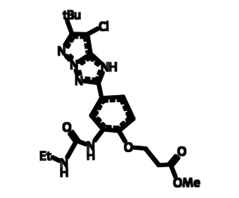 CCNC(=O)Nc1cc(-c2nn3nc(C(C)(C)C)c(Cl)c3[nH]2)ccc1OCCC(=O)OC